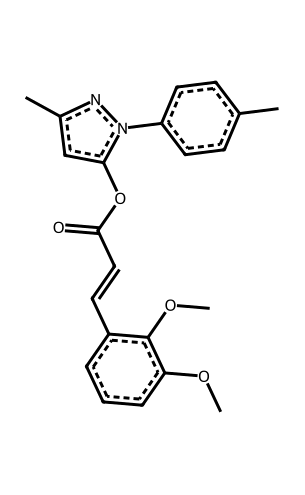 COc1cccc(/C=C/C(=O)Oc2cc(C)nn2-c2ccc(C)cc2)c1OC